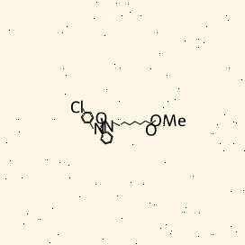 COC(=O)CCCCCCCn1c(=O)n(Cc2ccc(Cl)cc2)c2ccccc21